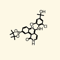 CC(C)(O)c1cc(Cl)c(Nc2nc3ccc(B4OC(C)(C)C(C)(C)O4)cc3c3c(=O)[nH]ccc23)c(Cl)c1